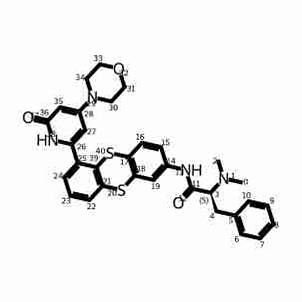 CN(C)[C@@H](Cc1ccccc1)C(=O)Nc1ccc2c(c1)Sc1cccc(-c3cc(N4CCOCC4)cc(=O)[nH]3)c1S2